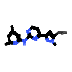 CCOC(=O)c1cc(-c2ccnc(Nc3cc(C)cc(C)n3)n2)nn1C